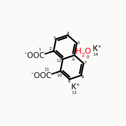 O.O=C([O-])c1cccc2cccc(C(=O)[O-])c12.[K+].[K+]